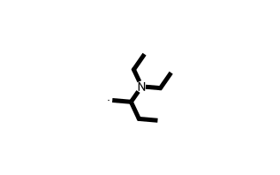 [CH2]C(CC)N(CC)CC